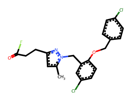 Cc1cc(CCC(=O)F)nn1Cc1cc(Cl)ccc1OCc1ccc(Cl)cc1